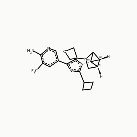 Nc1ncc(-c2cn([C@]34C5[C@@H]3[C@@H]4CN5C3COC3)c(C3CCC3)n2)cc1C(F)(F)F